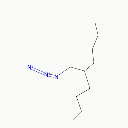 CCCCC(CCCC)CN=[N+]=[N-]